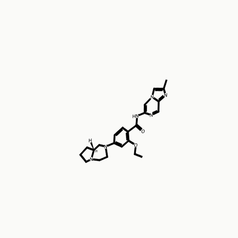 CCOc1cc(N2CCN3CCC[C@@H]3C2)ccc1C(=O)Nc1cn2cc(C)nc2cn1